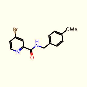 COc1ccc(CNC(=O)c2cc(Br)ccn2)cc1